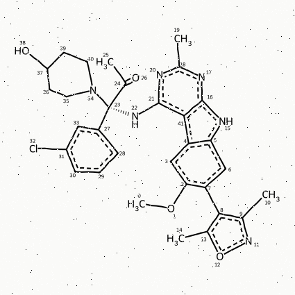 COc1cc2c(cc1-c1c(C)noc1C)[nH]c1nc(C)nc(N[C@](C(C)=O)(c3cccc(Cl)c3)N3CCC(O)CC3)c12